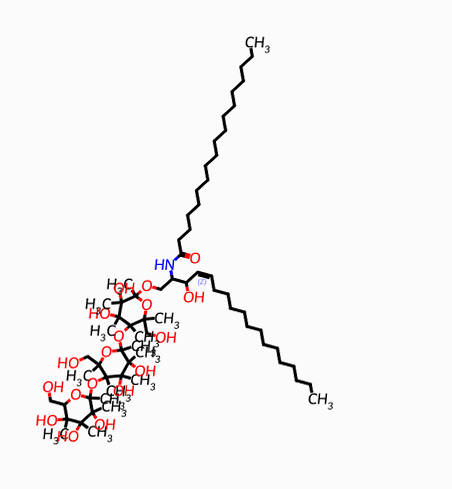 CCCCCCCCCCCCC/C=C\C(O)C(COC1(C)OC(C)(CO)C(C)(OC2(C)OC(C)(CO)C(C)(OC3(C)OC(CO)C(C)(O)C(C)(O)C3(C)O)C(C)(O)C2(C)O)C(C)(O)C1(C)O)NC(=O)CCCCCCCCCCCCCCCCC